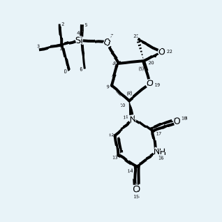 CC(C)(C)[Si](C)(C)OC1C[C@H](n2ccc(=O)[nH]c2=O)O[C@@]12CO2